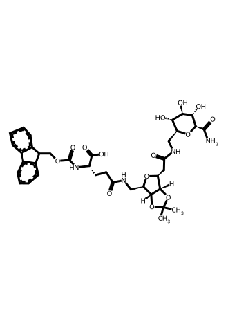 CC1(C)O[C@@H]2[C@H](O1)[C@@H](CNC(=O)CC[C@H](NC(=O)OCC1c3ccccc3-c3ccccc31)C(=O)O)O[C@H]2CC(=O)NC[C@@H]1O[C@H](C(N)=O)[C@@H](O)[C@H](O)[C@H]1O